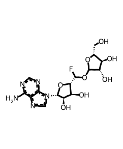 Nc1ncnc2c1ncn2[C@@H]1O[C@H](C(F)OC2O[C@H](CO)[C@@H](O)[C@@H]2O)[C@@H](O)[C@H]1O